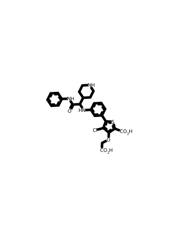 O=C(O)COc1c(C(=O)O)sc(-c2cccc(NC(C(=O)Nc3ccccc3)C3CCNCC3)c2)c1Cl